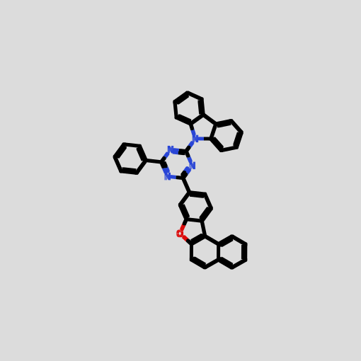 c1ccc(-c2nc(-c3ccc4c(c3)oc3ccc5ccccc5c34)nc(-n3c4ccccc4c4ccccc43)n2)cc1